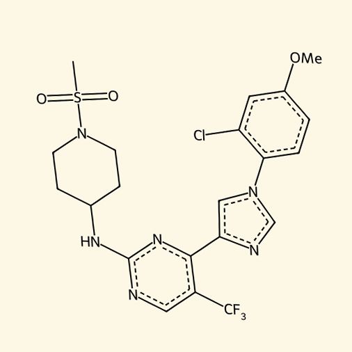 COc1ccc(-n2cnc(-c3nc(NC4CCN(S(C)(=O)=O)CC4)ncc3C(F)(F)F)c2)c(Cl)c1